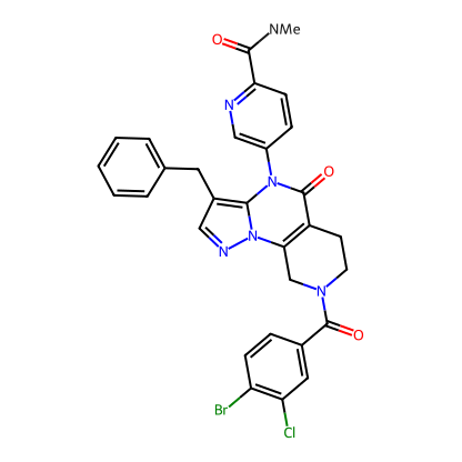 CNC(=O)c1ccc(-n2c(=O)c3c(n4ncc(Cc5ccccc5)c24)CN(C(=O)c2ccc(Br)c(Cl)c2)CC3)cn1